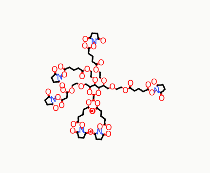 O=C(CCCC(=O)ON1C(=O)CCC1=O)OCCOCC(OCCOC(=O)CCCC(=O)ON1C(=O)CCC1=O)C(OCCOC(=O)CCCC(=O)ON1C(=O)CCC1=O)C(OCCOC(=O)CCCC(=O)ON1C(=O)CCC1=O)C(COCCOC(=O)CC(=O)ON1C(=O)CCC1=O)OCCOC(=O)CCCC(=O)ON1C(=O)CCC1=O